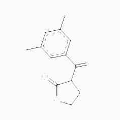 Cc1cc(C)cc(C(=O)C2CCOC2=O)c1